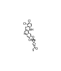 C=CC(=O)N1CC2(CC(Oc3cc4c(Nc5ccc(Cl)c(Cl)c5F)ncnc4cc3OC)C2)C1